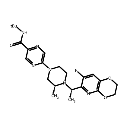 C[C@H](c1nc2c(cc1F)OCCO2)N1CCN(c2cnc(C(=O)NC(C)(C)C)cn2)C[C@@H]1C